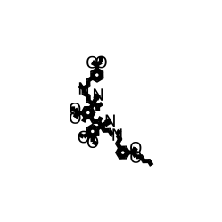 CCCCOC(=O)c1cccc(CCN(C)CCCC(C#N)(c2ccc(OC)c(OC)c2)C(C)Cc2cc(C(C#N)(CCCN(C)CCc3cccc(C(=O)OC)c3)C(C)C)cc(C(=O)OC)c2C)c1